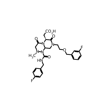 CN1CC(=O)N2C(CN(CCOCc3cccc(F)c3)C(=O)[C@@H]2CC(=O)O)N1C(=O)NCc1ccc(F)cc1